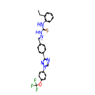 CCc1ccccc1NC(=S)N/N=C/c1ccc(-c2ncn(-c3ccc(OC(F)(F)F)cc3)n2)cc1